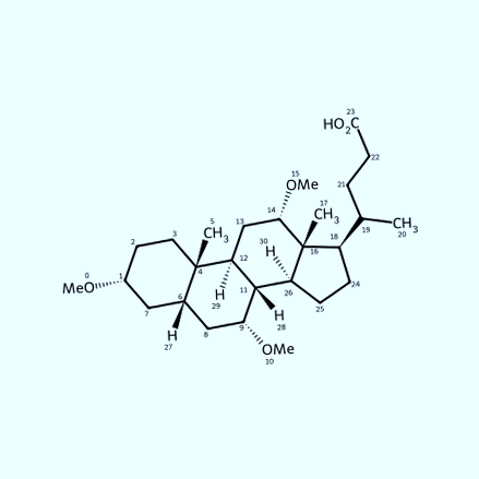 CO[C@@H]1CC[C@@]2(C)[C@@H](C1)C[C@@H](OC)[C@@H]1[C@@H]2C[C@H](OC)[C@]2(C)[C@@H](C(C)CCC(=O)O)CC[C@@H]12